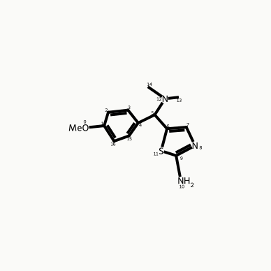 COc1ccc(C(c2cnc(N)s2)N(C)C)cc1